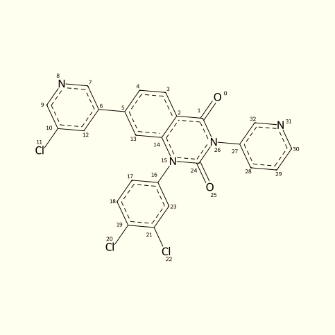 O=c1c2ccc(-c3cncc(Cl)c3)cc2n(-c2ccc(Cl)c(Cl)c2)c(=O)n1-c1cccnc1